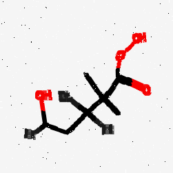 CCC(O)CC(CC)(CC)C(C)(C)C(=O)OO